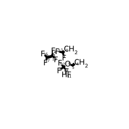 C=C(F)F.C=COC(F)(F)F.F.FC(F)=C(F)F